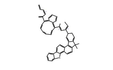 C=C/C=C\C(=C)c1ccccccc(/C(C)=C/C(=C\C)C2C=C3C(=CC2)C(C)(C)c2ccc4c(ccc5c6ccccc6sc45)c23)c2ccccc12